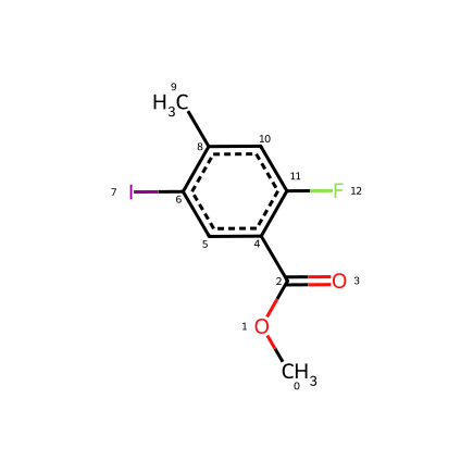 COC(=O)c1cc(I)c(C)cc1F